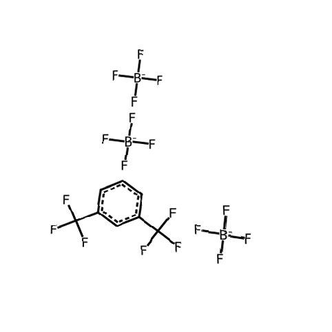 FC(F)(F)c1cccc(C(F)(F)F)c1.F[B-](F)(F)F.F[B-](F)(F)F.F[B-](F)(F)F